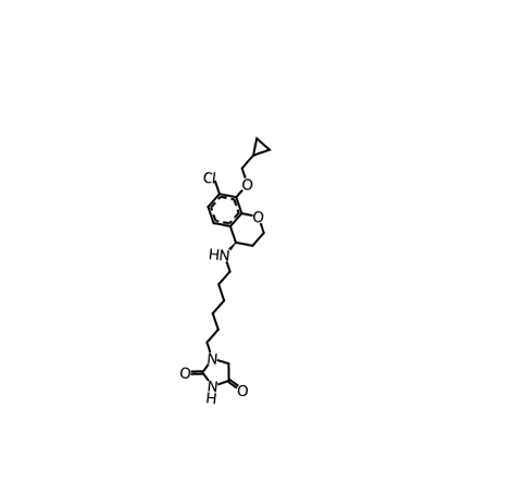 O=C1CN(CCCCCCN[C@@H]2CCOc3c2ccc(Cl)c3OCC2CC2)C(=O)N1